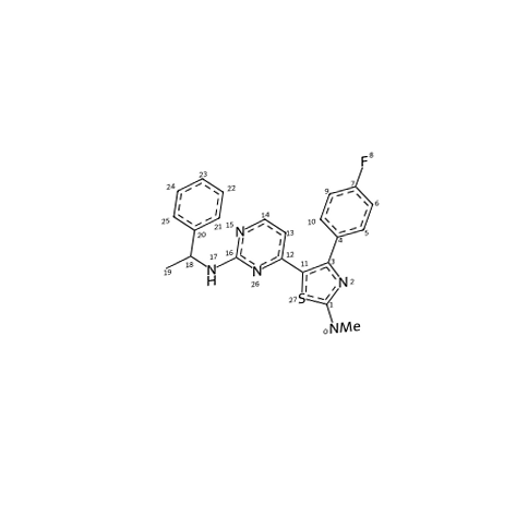 CNc1nc(-c2ccc(F)cc2)c(-c2ccnc(NC(C)c3ccccc3)n2)s1